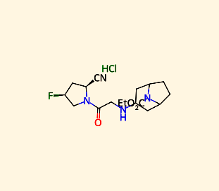 CCOC(=O)N1C2CCC1CC(NCC(=O)N1C[C@@H](F)C[C@H]1C#N)C2.Cl